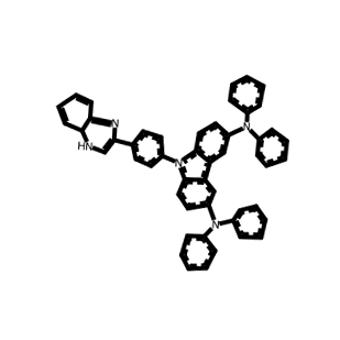 C1=CC2=NC(c3ccc(-n4c5ccc(N(c6ccccc6)c6ccccc6)cc5c5cc(N(c6ccccc6)c6ccccc6)ccc54)cc3)=CNC2C=C1